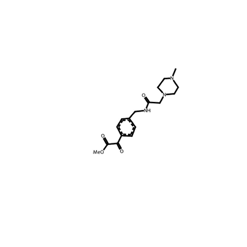 COC(=O)C(=O)c1ccc(CNC(=O)CN2CCN(C)CC2)cc1